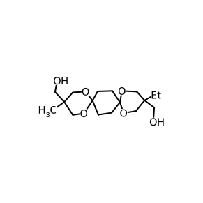 CCC1(CO)COC2(CCC3(CC2)OCC(C)(CO)CO3)OC1